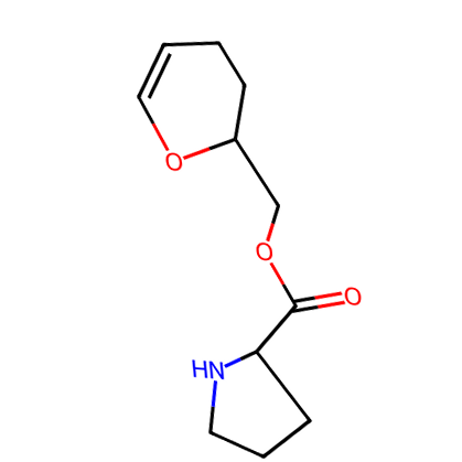 O=C(OCC1CCC=CO1)C1CCCN1